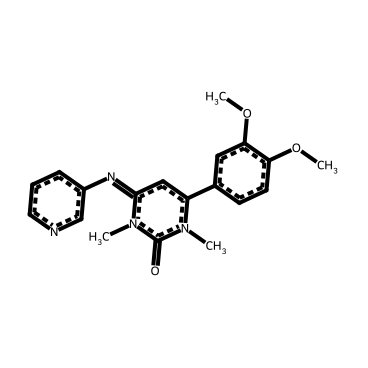 COc1ccc(-c2c/c(=N/c3cccnc3)n(C)c(=O)n2C)cc1OC